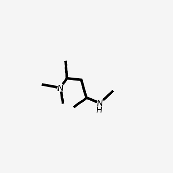 CNC(C)CC(C)N(C)C